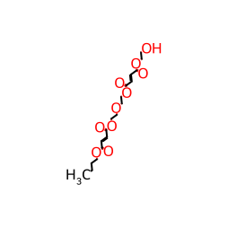 CCCCOC(=O)/C=C/C(=O)OCCOCCOC(=O)/C=C/C(=O)OCCO